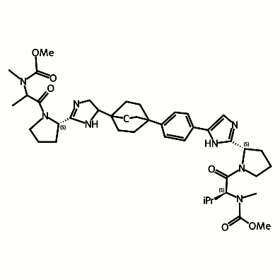 COC(=O)N(C)C(C)C(=O)N1CCC[C@H]1C1=NCC(C23CCC(c4ccc(-c5cnc([C@@H]6CCCN6C(=O)[C@H](C(C)C)N(C)C(=O)OC)[nH]5)cc4)(CC2)CC3)N1